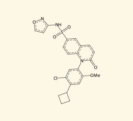 COc1cc(C2CCC2)c(Cl)cc1-n1c(=O)ccc2cc(S(=O)(=O)Nc3ccon3)ccc21